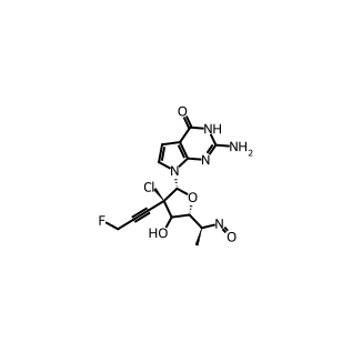 C[C@H](N=O)[C@H]1O[C@@H](n2ccc3c(=O)[nH]c(N)nc32)[C@@](Cl)(C#CCF)C1O